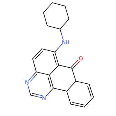 O=C1c2c(NC3CCCCC3)ccc3ncnc(c23)C2C=CC=CC12